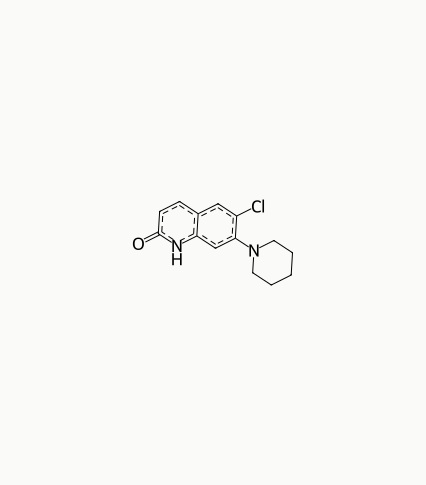 O=c1ccc2cc(Cl)c(N3CCCCC3)cc2[nH]1